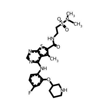 Cc1c(C(=O)NCCS(=O)(=O)N(C)C)sc2ncnc(Nc3ccc(F)cc3OC3CCCNC3)c12